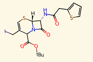 CC(C)(C)OC(=O)C1C(CI)=CS[C@@H]2[C@H](NC(=O)Cc3cccs3)C(=O)N12